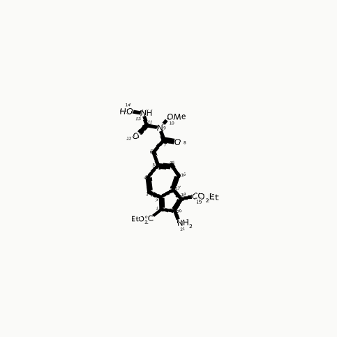 CCOC(=O)c1c2ccc(CC(=O)N(OC)C(=O)NO)ccc-2c(C(=O)OCC)c1N